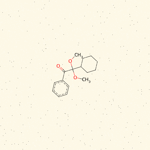 COC(OC)(C(=O)c1ccccc1)C1CCCCC1